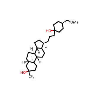 COC[C@H]1CC[C@](O)(CCC[C@@H]2CC[C@H]3[C@@H]4CC[C@H]5C[C@](O)(C(F)(F)F)CC[C@]5(C)[C@H]4CC[C@]23C)CC1